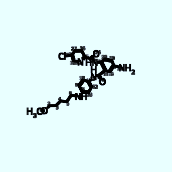 COCCCCCNc1ccc(NC(=O)c2cc(N)ccc2NC(=O)c2ccc(Cl)cn2)cc1